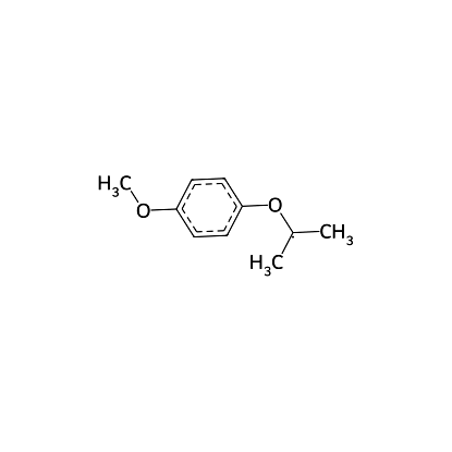 COc1ccc(O[C](C)C)cc1